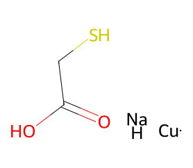 O=C(O)CS.[Cu].[NaH]